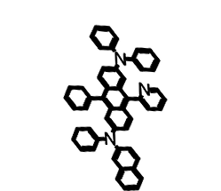 C1=CCCC(c2c3cc(N(C4=CCCC=C4)c4ccc5ccccc5c4)ccc3c(-c3ccccn3)c3cc(N(c4ccccc4)c4ccccc4)ccc23)=C1